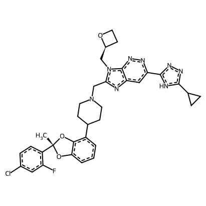 C[C@]1(c2ccc(Cl)cc2F)Oc2cccc(C3CCN(Cc4nc5cc(-c6nnc(C7CC7)[nH]6)nnc5n4C[C@@H]4CCO4)CC3)c2O1